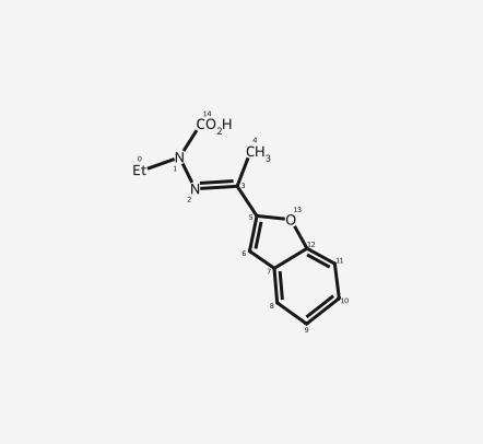 CCN(N=C(C)c1cc2ccccc2o1)C(=O)O